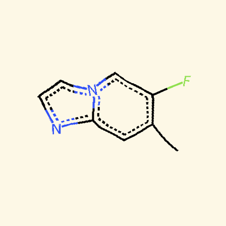 Cc1cc2nccn2cc1F